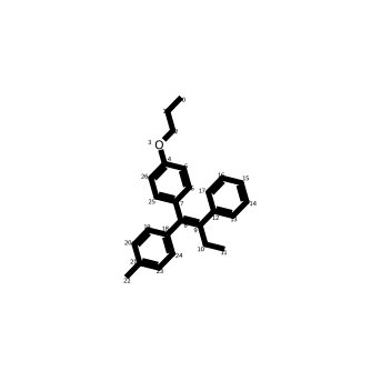 CCCOc1ccc(C(=C(CC)c2ccccc2)c2ccc(C)cc2)cc1